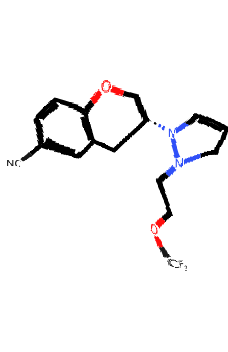 N#Cc1ccc2c(c1)C[C@@H](N1C=CCN1CCOC(F)(F)F)CO2